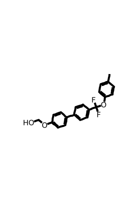 Cc1ccc(OC(F)(F)c2ccc(-c3ccc(OCO)cc3)cc2)cc1